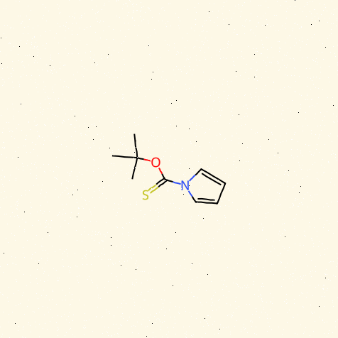 CC(C)(C)OC(=S)n1cccc1